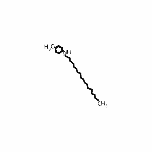 CCCCCCCCCCCCCCCCCC[CH]Nc1ccc(C)cc1